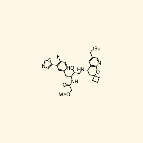 COCC(=O)N[C@@H](Cc1ccc(F)c(-c2cncs2)c1)[C@@H](O)CN[C@H]1CC2(CCC2)Oc2ncc(CC(C)(C)C)cc21